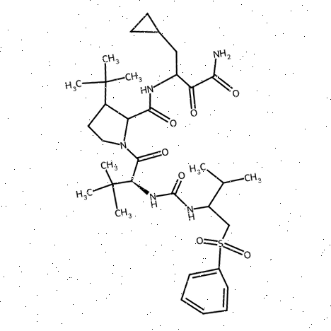 CC(C)C(CS(=O)(=O)c1ccccc1)NC(=O)N[C@H](C(=O)N1CCC(C(C)(C)C)C1C(=O)NC(CC1CC1)C(=O)C(N)=O)C(C)(C)C